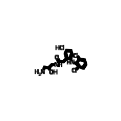 Cl.NCC(O)CNC(=O)Cc1ccccc1Nc1c(Cl)cccc1Cl